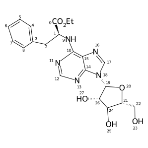 CCOC(=O)[C@H](Cc1ccccc1)Nc1ncnc2c1ncn2[C@@H]1O[C@H](CO)C(O)[C@@H]1O